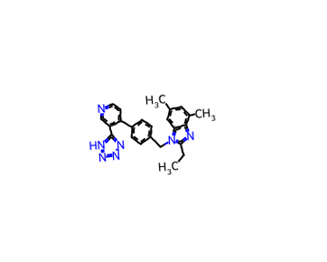 CCc1nc2c(C)cc(C)cc2n1Cc1ccc(-c2ccncc2-c2nnn[nH]2)cc1